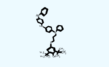 CC(C)(C)c1cc(SCCCN(c2ccccc2)c2ccc(Nc3ccc(Nc4ccccc4)cc3)cc2)cc(C(C)(C)C)c1O